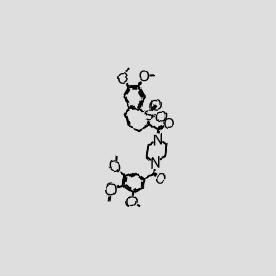 COc1cc2c(cc1OC)S(=O)(=O)C(C(=O)N1CCN(C(=O)c3cc(OC)c(OC)c(OC)c3)CC1)CC=C2